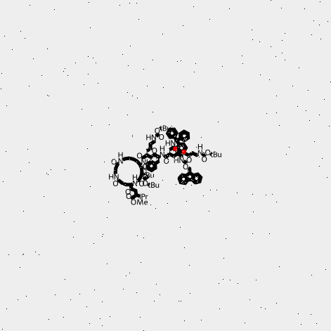 COC(=O)C(CC(=O)C1CCC(=O)NCCC(=O)NCCCC[C@H](NC(=O)[C@H](CCCCNC(=O)OC(C)(C)C)CC(=O)[C@H](Cc2ccc(OC(C)(C)C)cc2)NC(=O)[C@H](CC(=O)NC(c2ccccc2)(c2ccccc2)c2ccccc2)CC(=O)[C@H](CCCCNC(=O)OC(C)(C)C)NC(=O)OCC2c3ccccc3-c3ccccc32)C(=O)C[C@@H](C(C)OC(C)(C)C)C(=O)N1)C(C)C